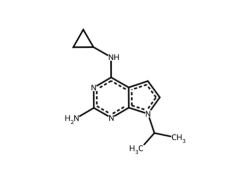 CC(C)n1ccc2c(NC3CC3)nc(N)nc21